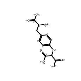 N[C@@H](Cc1ccc(OC(C(=O)O)C(=O)O)cc1)C(=O)O